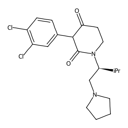 CC(C)[C@@H](CN1CCCC1)N1CCC(=O)C(c2ccc(Cl)c(Cl)c2)C1=O